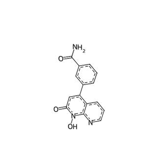 NC(=O)c1cccc(-c2cc(=O)n(O)c3ncccc23)c1